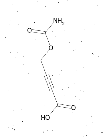 NC(=O)OCC#CC(=O)O